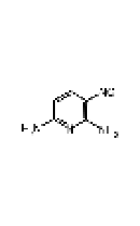 Nc1ccc(N=O)c(N)n1